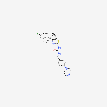 CC(C)(c1ccc(Cl)cc1)c1csc(NC(=O)NCc2ccc(N3CCNCC3)cc2)n1